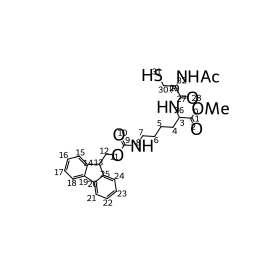 COC(=O)C(CCCCNC(=O)OCC1c2ccccc2-c2ccccc21)NC(=O)[C@H](CS)NC(C)=O